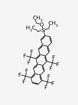 CCO[Si](CC)(CC)c1ccc2cc3c(C(F)(F)F)c4cc5c(C(F)(F)F)ccc(C(F)(F)F)c5cc4c(C(F)(F)F)c3cc2c1